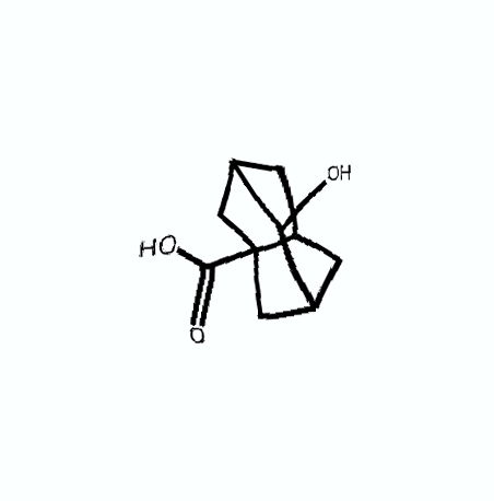 O=C(O)C12CC3CC1CC(C2)C3O